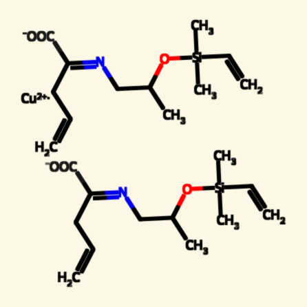 C=CCC(=NCC(C)O[Si](C)(C)C=C)C(=O)[O-].C=CCC(=NCC(C)O[Si](C)(C)C=C)C(=O)[O-].[Cu+2]